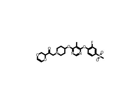 Cc1c(Oc2ccc(S(C)(=O)=O)cc2F)ncnc1OC1CCN(CC(=O)C2COC=CO2)CC1